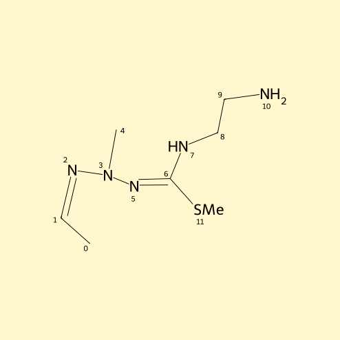 C/C=N\N(C)N=C(NCCN)SC